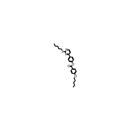 CCCCCOc1ccc(C(=O)Oc2ccc(-c3ccnc(SCCCCC)n3)cc2)cc1